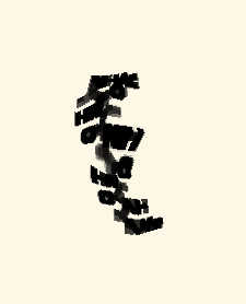 CNCNC(=O)CNC(=O)CNC(=O)CNC(=O)CNC(C)=O